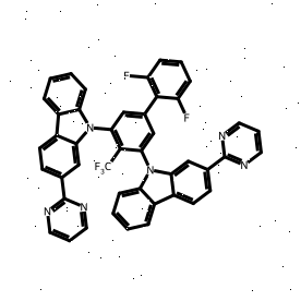 Fc1cccc(F)c1-c1cc(-n2c3ccccc3c3ccc(-c4ncccn4)cc32)c(C(F)(F)F)c(-n2c3ccccc3c3ccc(-c4ncccn4)cc32)c1